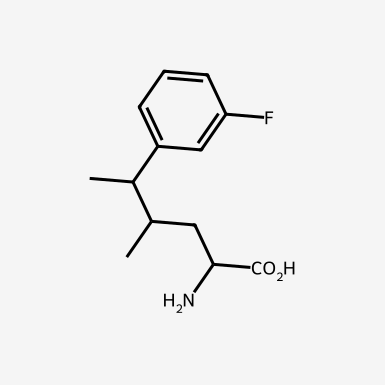 CC(CC(N)C(=O)O)C(C)c1cccc(F)c1